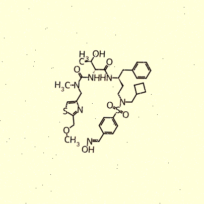 COCc1nc(CN(C)C(=O)N[C@@H](C(=O)N[C@H](CCN(CC2CCC2)S(=O)(=O)c2ccc(/C=N/O)cc2)Cc2ccccc2)[C@@H](C)O)cs1